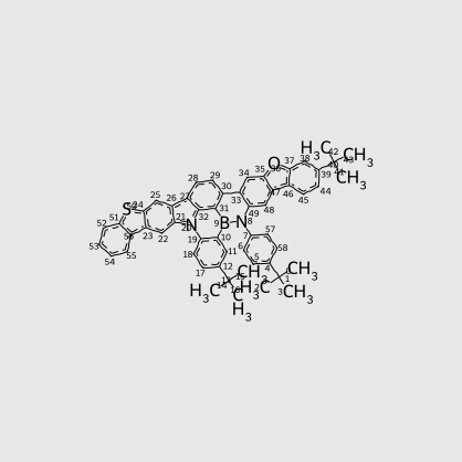 CC(C)(C)c1ccc(N2B3c4cc(C(C)(C)C)ccc4-n4c5cc6c(cc5c5ccc(c3c54)-c3cc4oc5cc(C(C)(C)C)ccc5c4cc32)sc2ccccc26)cc1